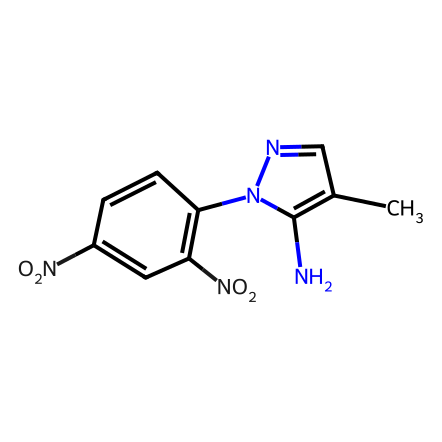 Cc1cnn(-c2ccc([N+](=O)[O-])cc2[N+](=O)[O-])c1N